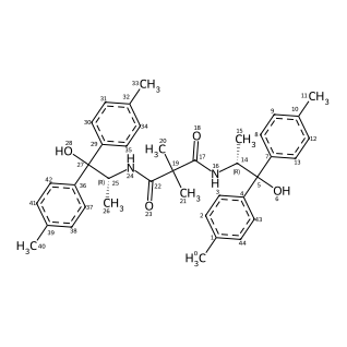 Cc1ccc(C(O)(c2ccc(C)cc2)[C@@H](C)NC(=O)C(C)(C)C(=O)N[C@H](C)C(O)(c2ccc(C)cc2)c2ccc(C)cc2)cc1